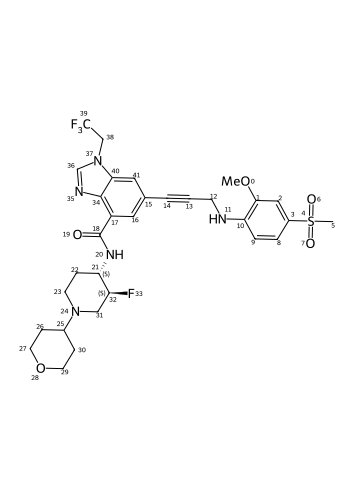 COc1cc(S(C)(=O)=O)ccc1NCC#Cc1cc(C(=O)N[C@H]2CCN(C3CCOCC3)C[C@@H]2F)c2ncn(CC(F)(F)F)c2c1